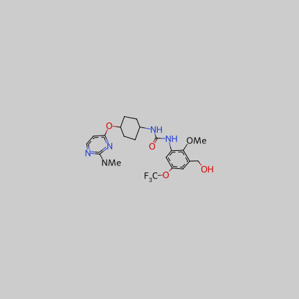 CNc1nccc(OC2CCC(NC(=O)Nc3cc(OC(F)(F)F)cc(CO)c3OC)CC2)n1